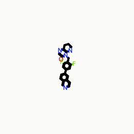 O=c1cnc2c(n1Cc1c(F)cc(-c3ccc4cnccc4c3)cc1F)N=CCC2